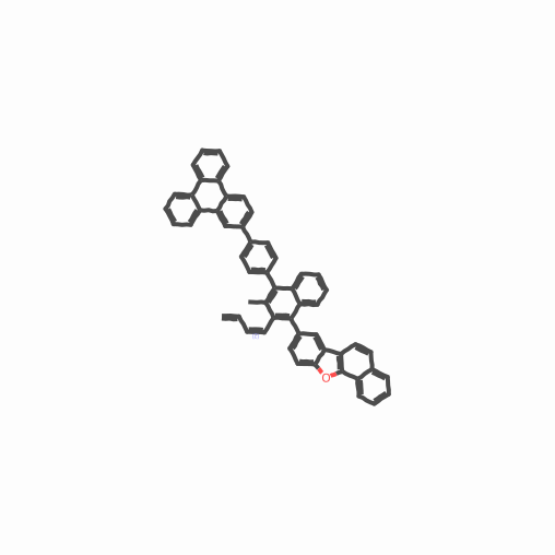 C=C/C=C\c1c(C)c(-c2ccc(-c3ccc4c5ccccc5c5ccccc5c4c3)cc2)c2ccccc2c1-c1ccc2oc3c4ccccc4ccc3c2c1